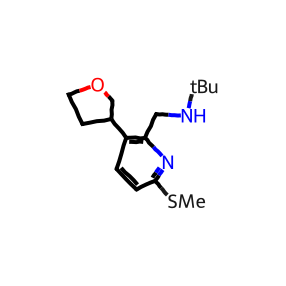 CSc1ccc(C2CCOC2)c(CNC(C)(C)C)n1